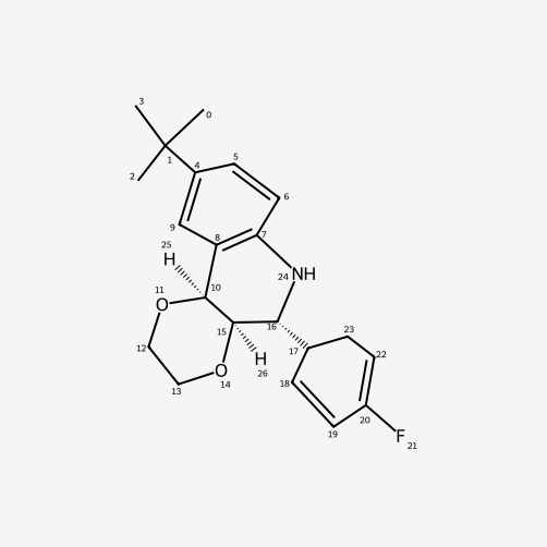 CC(C)(C)c1ccc2c(c1)[C@@H]1OCCO[C@@H]1[C@@H](C1C=CC(F)=CC1)N2